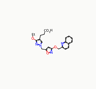 CCOc1nn(Cc2cc(OCc3ccc4ccccc4n3)no2)cc1CCC(=O)O